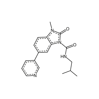 CC(C)CNC(=O)n1c(=O)n(C)c2ccc(-c3cccnc3)cc21